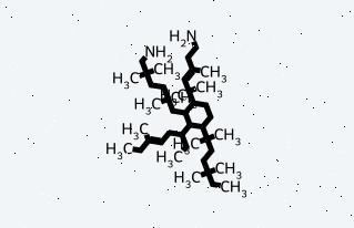 CC/C(C)=C/CC(CC)C1C(CC(C)(C)CCC(C)(C)CN)C(C(C)(C)/C=C(\C)CCN)CCC1C(C)(C)CCC(C)(C)CC